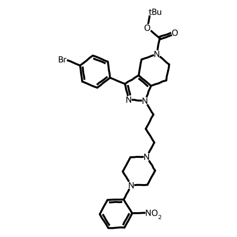 CC(C)(C)OC(=O)N1CCc2c(c(-c3ccc(Br)cc3)nn2CCCN2CCN(c3ccccc3[N+](=O)[O-])CC2)C1